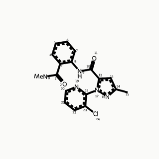 CNC(=O)c1ccccc1NC(=O)c1cc(C)nn1-c1ncccc1Cl